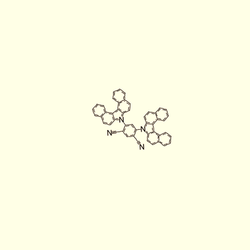 N#Cc1cc(C#N)c(-n2c3ccc4ccccc4c3c3c4ccccc4ccc32)cc1-n1c2ccc3ccccc3c2c2c3ccccc3ccc21